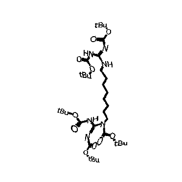 CC(C)(C)OC(=O)N=C(NCCCCCCCCN(C(=O)OC(C)(C)C)C(=NC(=O)OC(C)(C)C)NC(=O)OC(C)(C)C)NC(=O)OC(C)(C)C